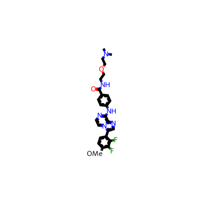 COc1ccc(-c2cnc3c(Nc4ccc(C(=O)NCCOCCN(C)C)cc4)nccn23)c(F)c1F